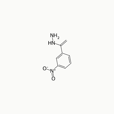 C=C(NN)c1cccc([N+](=O)[O-])c1